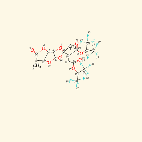 CC1C(=O)OC2C3OC(C)(C(CC(=O)OC(C(F)(F)F)C(F)(F)F)C(=O)OC(C(F)(F)F)C(F)(F)F)OC3OC12